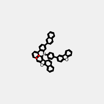 c1ccc(-c2ccc(-c3ccc4ccccc4c3)cc2N(c2ccc(-c3ccc4oc5ccccc5c4c3)cc2)c2cccc3oc4c5ccccc5ccc4c23)cc1